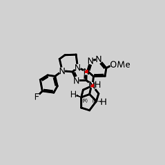 COc1cc(N2C[C@H]3CC[C@H](C2)C3Nc2nc3n(n2)CCCN3c2ccc(F)cc2)cnn1